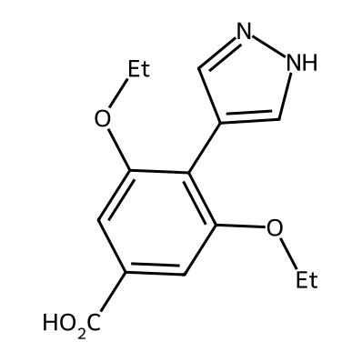 CCOc1cc(C(=O)O)cc(OCC)c1-c1cn[nH]c1